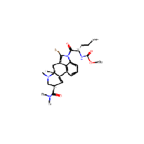 CCN(CC)C(=O)[C@@H]1C=C2c3cccc4c3c(c(Br)n4C(=O)[C@H](CCSC)NC(=O)OC(C)(C)C)C[C@H]2N(C)C1